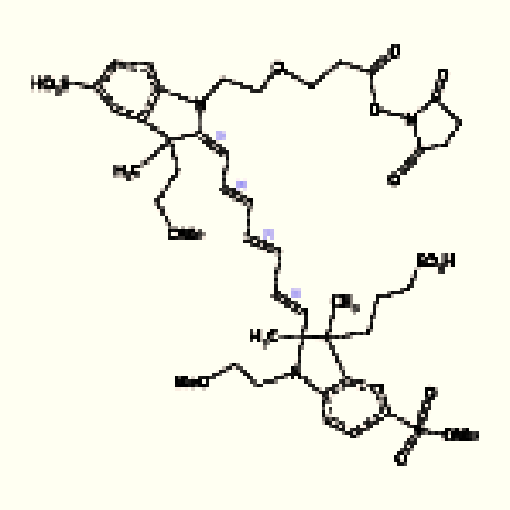 COCCN1c2ccc(S(=O)(=O)OC)cc2C(C)(CCCS(=O)(=O)O)C1(C)/C=C/C=C/C=C/C=C1/N(CCOCCC(=O)ON2C(=O)CCC2=O)c2ccc(S(=O)(=O)O)cc2C1(C)CCOC